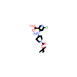 CC(C)(C)OC(=O)N1CCC(Nc2cc(Cl)ncc2C(=O)O)CC1